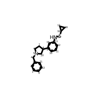 c1ccc(CN2CCC(c3cccc(NSC4CC4)c3)C2)cc1